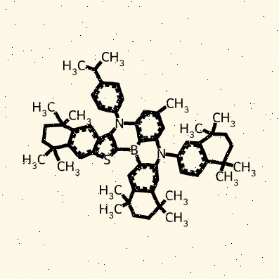 Cc1cc2c3c(c1)N(c1ccc(C(C)C)cc1)c1c(sc4cc5c(cc14)C(C)(C)CCC5(C)C)B3c1cc3c(cc1N2c1ccc2c(c1)C(C)(C)CCC2(C)C)C(C)(C)CCC3(C)C